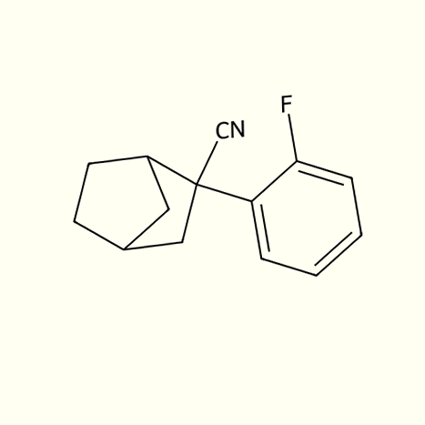 N#CC1(c2ccccc2F)CC2CCC1C2